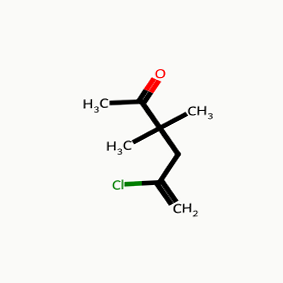 C=C(Cl)CC(C)(C)C(C)=O